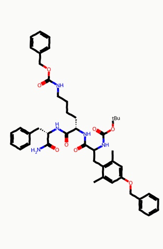 Cc1cc(OCc2ccccc2)cc(C)c1CC(NC(=O)OC(C)(C)C)C(=O)N[C@@H](CCCCNC(=O)OCc1ccccc1)C(=O)N[C@@H](Cc1ccccc1)C(N)=O